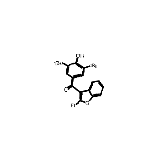 CCc1oc2ccccc2c1C(=O)c1cc(C(C)(C)C)c(O)c(C(C)(C)C)c1